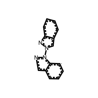 [c]1cccc2cnn(-n3cc4ccccc4n3)c12